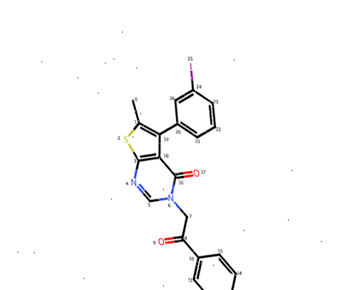 Cc1sc2ncn(CC(=O)c3ccccc3)c(=O)c2c1-c1cccc(I)c1